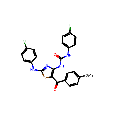 COc1ccc(C(=O)c2sc(Nc3ccc(Cl)cc3)nc2NC(=O)Nc2ccc(F)cc2)cc1